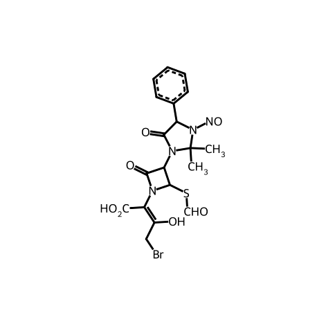 CC1(C)N(N=O)C(c2ccccc2)C(=O)N1C1C(=O)N(C(C(=O)O)=C(O)CBr)C1SC=O